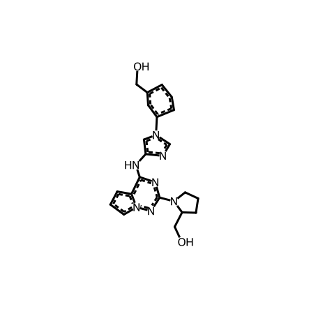 OCc1cccc(-n2cnc(Nc3nc(N4CCCC4CO)nn4cccc34)c2)c1